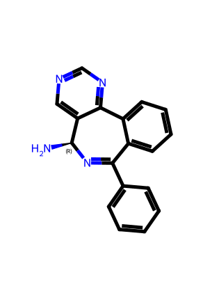 N[C@@H]1N=C(c2ccccc2)c2ccccc2-c2ncncc21